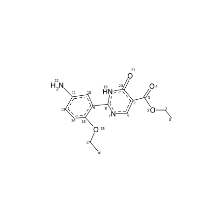 CCOC(=O)c1cnc(-c2cc(N)ccc2OCC)[nH]c1=O